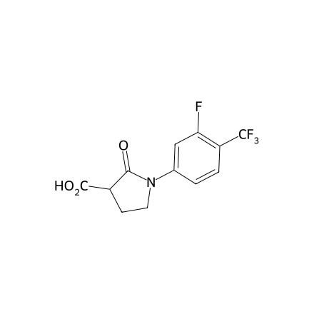 O=C(O)C1CCN(c2ccc(C(F)(F)F)c(F)c2)C1=O